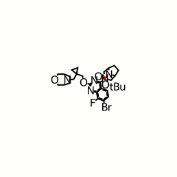 CC(C)(C)OC(=O)N1C2CCC1CN(c1nc(OCC3(CN4C5CCC4COC5)CC3)nc3c(F)c(Br)ccc13)C2